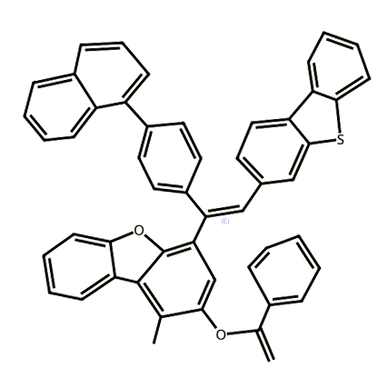 C=C(Oc1cc(/C(=C/c2ccc3c(c2)sc2ccccc23)c2ccc(-c3cccc4ccccc34)cc2)c2oc3ccccc3c2c1C)c1ccccc1